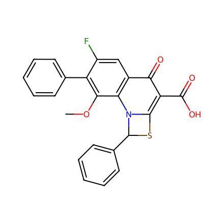 COc1c(-c2ccccc2)c(F)cc2c(=O)c(C(=O)O)c3n(c12)C(c1ccccc1)S3